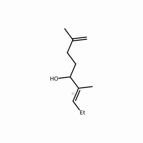 C=C(C)CCC(O)/C(C)=C/CC